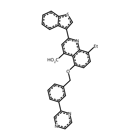 CCc1ccc(OCc2cccc(-c3cnccn3)c2)c2c(C(=O)O)cc(-c3csc4ccccc34)nc12